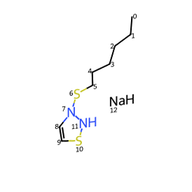 CCCCCCSN1C=CSN1.[NaH]